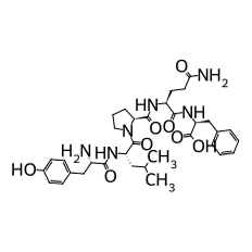 CC(C)C[C@H](NC(=O)[C@@H](N)Cc1ccc(O)cc1)C(=O)N1CCC[C@H]1C(=O)N[C@@H](CCC(N)=O)C(=O)N[C@@H](Cc1ccccc1)C(=O)O